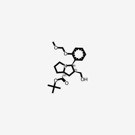 COCOc1ccccc1[C@H]1[C@@H](CO)C[C@@]2(C(=O)OC(C)(C)C)CCCN12